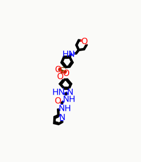 O=C(NCc1ccccn1)Nc1nc2ccc(OS(=O)(=O)c3ccc(NCC4CCOCC4)cc3)cc2[nH]1